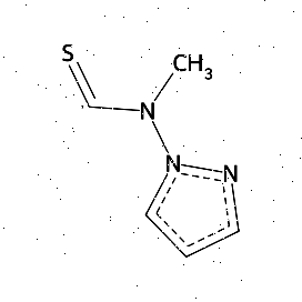 CN([C]=S)n1cccn1